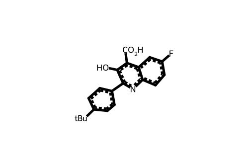 CC(C)(C)c1ccc(-c2nc3ccc(F)cc3c(C(=O)O)c2O)cc1